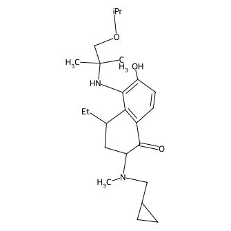 CCC1CC(N(C)CC2CC2)C(=O)c2ccc(O)c(NC(C)(C)COC(C)C)c21